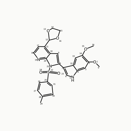 COc1cc2[nH]cc(-c3cc4c(C5OCCO5)ccnc4n3S(=O)(=O)c3ccc(C)cc3)c2cc1OC